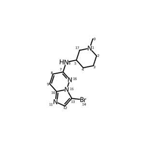 CN1CCCC(Nc2ccc3ncc(Br)n3n2)C1